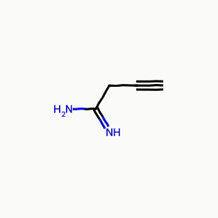 C#CCC(=N)N